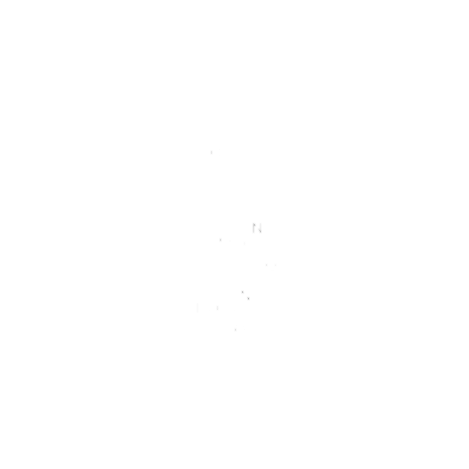 COC1CCCCc2ccc(CN(CC(C)C)C(=O)C3CN(C(=O)O)CCO3)cc21